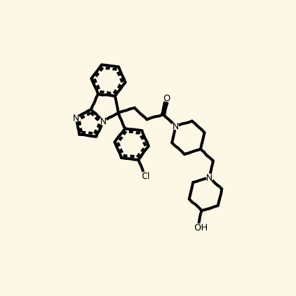 O=C(CCC1(c2ccc(Cl)cc2)c2ccccc2-c2nccn21)N1CCC(CN2CCC(O)CC2)CC1